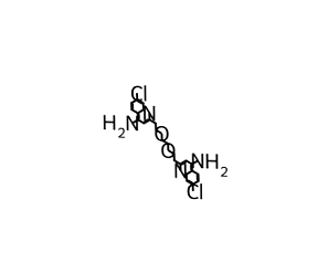 Nc1cc(CCOCCOCCc2cc(N)c3ccc(Cl)cc3n2)nc2cc(Cl)ccc12